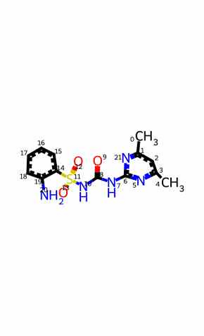 Cc1cc(C)nc(NC(=O)NS(=O)(=O)c2ccccc2N)n1